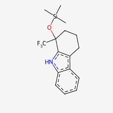 C[Si](C)(C)OC1(C(F)(F)F)CCCc2c1[nH]c1ccccc21